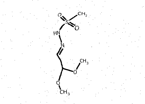 COC(C=NNS(C)(=O)=O)OC